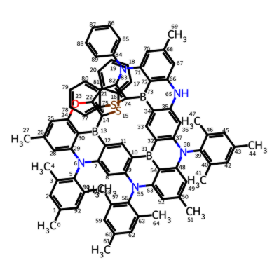 Cc1cc(C)c(N2c3cc4c(cc3B3c5sc6ccccc6c5Oc5cc(C)cc2c53)B2c3cc5c(cc3N(c3c(C)cc(C)cc3C)c3cc(C)cc(c32)N4c2c(C)cc(C)cc2C)Nc2cc(C)cc3c2B5c2sc4ccccc4c2N3c2ccccc2)c(C)c1